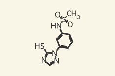 CS(=O)(=O)Nc1cccc(-n2ncnc2S)c1